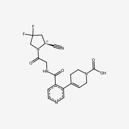 N#C[C@@H]1CC(F)(F)CN1C(=O)CNC(=O)c1ccncc1C1=CCN(C(=O)O)CC1